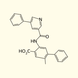 Cc1cc(C(=O)O)c(NC(=O)c2cncc(-c3ccccc3)c2)cc1-c1ccccc1